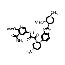 COc1ncc(NC(=O)C(=O)N2C[C@@H](C)CC[C@@H]2c2ccc3sc([C@@H]4CCN(C)C[C@H]4OC)nc3c2)cc1C(N)=O